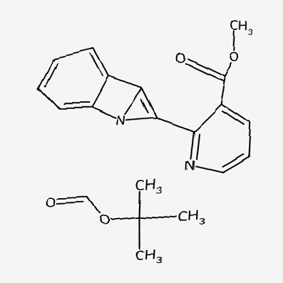 CC(C)(C)OC=O.COC(=O)c1cccnc1-c1c2c3ccccc3n1-2